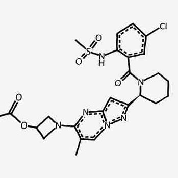 CC(=O)OC1CN(c2nc3cc([C@@H]4CCCCN4C(=O)c4cc(Cl)ccc4NS(C)(=O)=O)nn3cc2C)C1